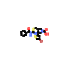 O=C(NC1=NC2(c3cc(Br)cs3)CN(C(=O)O)CC2CS1)c1ccccc1